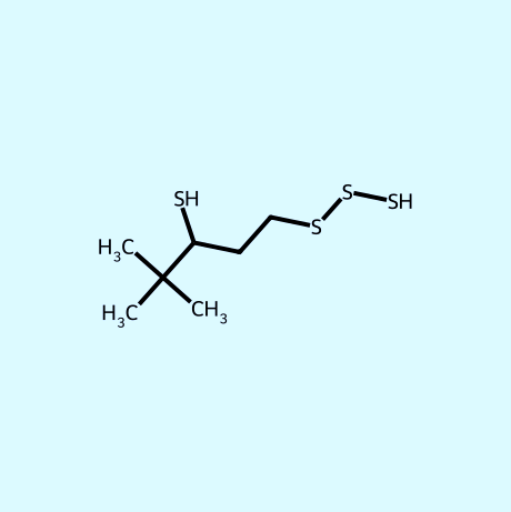 CC(C)(C)C(S)CCSSS